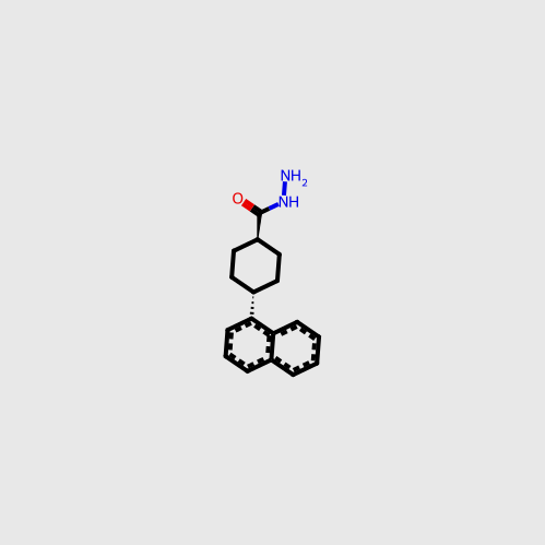 NNC(=O)[C@H]1CC[C@H](c2cccc3ccccc32)CC1